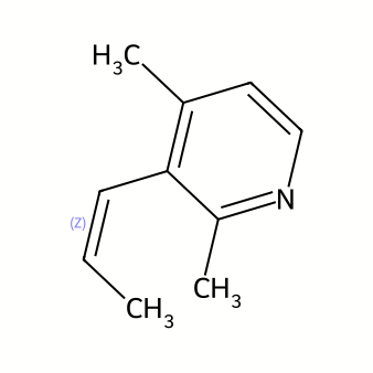 C/C=C\c1c(C)ccnc1C